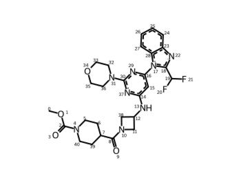 COC(=O)N1CCC(C(=O)N2CC(Nc3cc(-n4c(C(F)F)nc5ccccc54)nc(N4CCOCC4)n3)C2)CC1